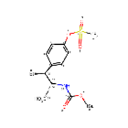 CC[C@@H](c1ccc(OS(=O)(=O)C(F)(F)F)cc1)[C@H](NC(=O)OC(C)(C)C)C(=O)O